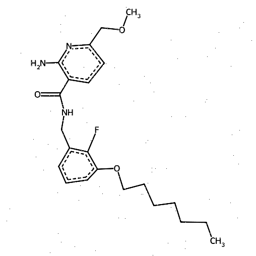 CCCCCCCOc1cccc(CNC(=O)c2ccc(COC)nc2N)c1F